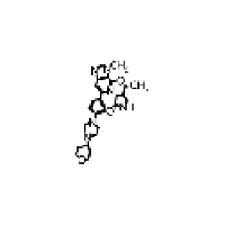 C[C@@H](Oc1nc(-c2ccc(N3CCN(C4CCOCC4)CC3)cc2)cc2ncn(C)c12)C1CNC(=O)C1